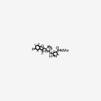 CNC(=O)c1cncc(NC(=O)N[C@H](c2oc3ccc(F)cc3c2C)C(C)C)c1